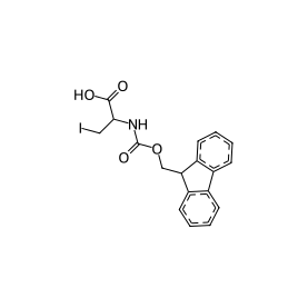 O=C(NC(CI)C(=O)O)OCC1c2ccccc2-c2ccccc21